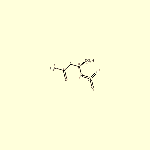 NC(=O)C[C@H](N=S(=O)=O)C(=O)O